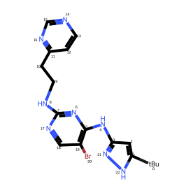 CC(C)(C)c1cc(Nc2nc(NCCc3ccncn3)ncc2Br)n[nH]1